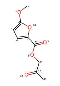 COc1ccc(C(=O)OCC(C)=O)o1